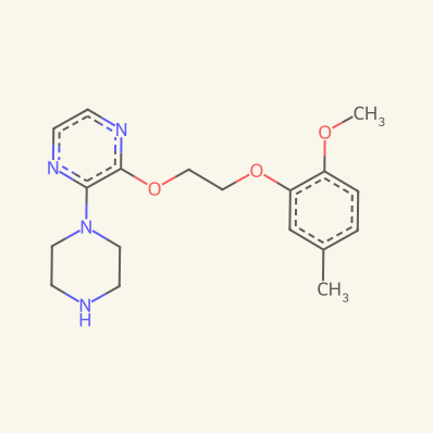 COc1ccc(C)cc1OCCOc1nccnc1N1CCNCC1